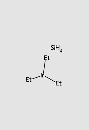 C[CH2][Ir]([CH2]C)[CH2]C.[SiH4]